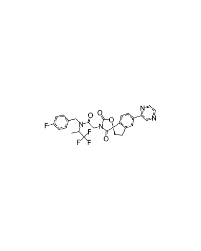 CC(N(Cc1ccc(F)cc1)C(=O)CN1C(=O)O[C@@]2(CCc3cc(-c4cnccn4)ccc32)C1=O)C(F)(F)F